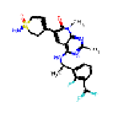 Cc1nc(N[C@H](C)c2cccc(C(F)F)c2F)c2cc(C3=CCS(=N)(=O)CC3)c(=O)n(C)c2n1